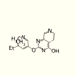 C=C(/C=C(\C=N/C)Oc1nc(O)c2ccncc2n1)CC